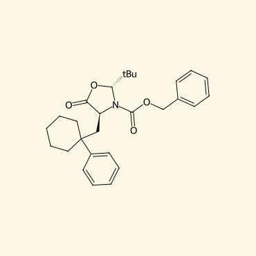 CC(C)(C)[C@H]1OC(=O)[C@H](CC2(c3ccccc3)CCCCC2)N1C(=O)OCc1ccccc1